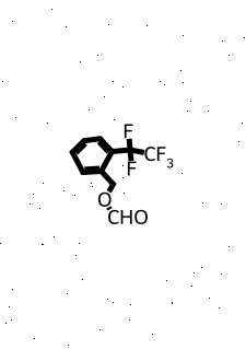 O=COCc1ccccc1C(F)(F)C(F)(F)F